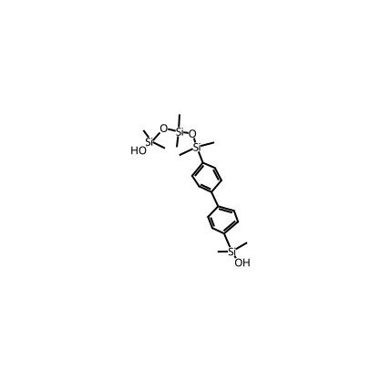 C[Si](C)(O)O[Si](C)(C)O[Si](C)(C)c1ccc(-c2ccc([Si](C)(C)O)cc2)cc1